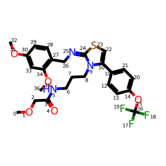 COCC(=O)NCCCn1c(-c2ccc(OC(F)(F)F)cc2)cs/c1=N/Cc1ccc(OC)cc1OC